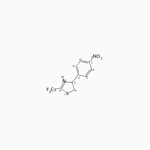 O=[N+]([O-])c1ccc(C2CSC(C(F)(F)F)=N2)cc1